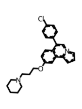 Clc1ccc(-c2cn3cccc3c3cc(OCCCN4CCCCC4)ccc23)cc1